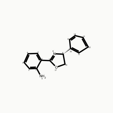 Nc1ccccc1C1=N[C@H](c2ccccc2)CO1